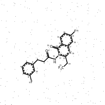 O=C(CCc1cccc(F)c1)Nn1c(CC(F)(F)F)nc2cc(F)ccc2c1=O